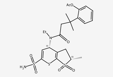 CCN(C(=O)CC(C)(C)c1ccccc1OC(C)=O)[C@H]1C=C(S(N)(=O)=O)SC2=C1C[C@H](C)S2(=O)=O